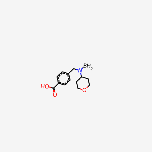 BN(Cc1ccc(C(=O)O)cc1)C1CCOCC1